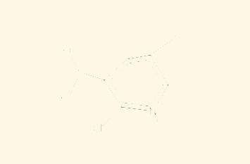 [O-][S+](Cl)c1cc(Cl)cnc1Cl